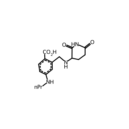 CCCNc1ccc(C(=O)O)c(CNC2CCC(=O)NC2=O)c1